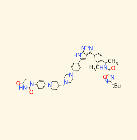 Cc1cc(-c2ncnc3[nH]c(-c4ccc(N5CCN(CC6CCN(c7ccc(N8CCC(=O)NC8=O)cc7)CC6)CC5)cc4)cc23)ccc1C(C)NC(=O)c1nc(C(C)(C)C)no1